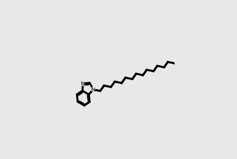 CCCCCCCCCCCCCCCn1cnc2ccccc21